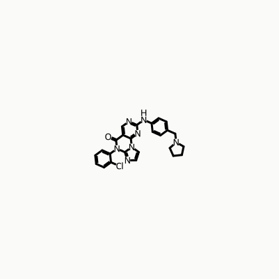 O=c1c2cnc(Nc3ccc(CN4CCCC4)cc3)nc2n2ccnc2n1-c1ccccc1Cl